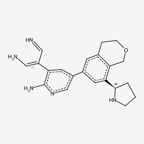 N=C/C(=C\N)c1cc(-c2cc3c(c([C@H]4CCCN4)c2)COCC3)cnc1N